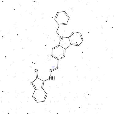 O=C1N=c2ccccc2=C1N/N=C/c1cc2c3ccccc3n(Cc3ccccc3)c2cn1